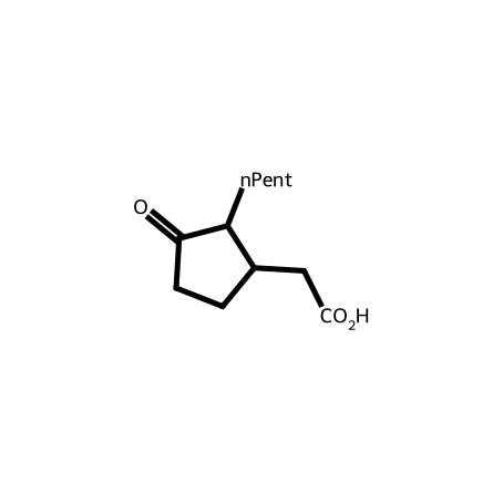 CCCCCC1C(=O)CCC1CC(=O)O